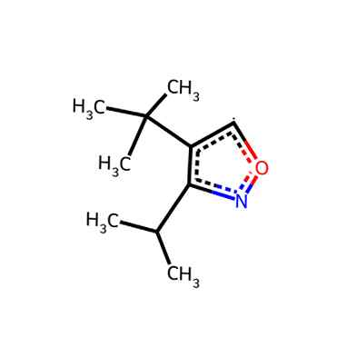 CC(C)c1no[c]c1C(C)(C)C